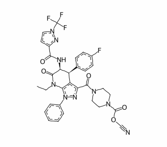 CCN1C(=O)[C@@H](NC(=O)c2ccn(C(F)(F)F)n2)[C@@H](c2ccc(F)cc2)c2c(C(=O)N3CCN(C(=O)OC#N)CC3)nn(-c3ccccc3)c21